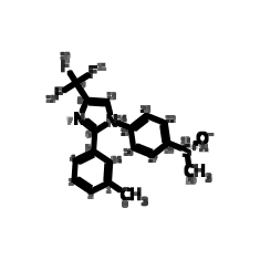 Cc1cccc(-c2nc(C(F)(F)F)cn2-c2ccc([S+](C)[O-])cc2)c1